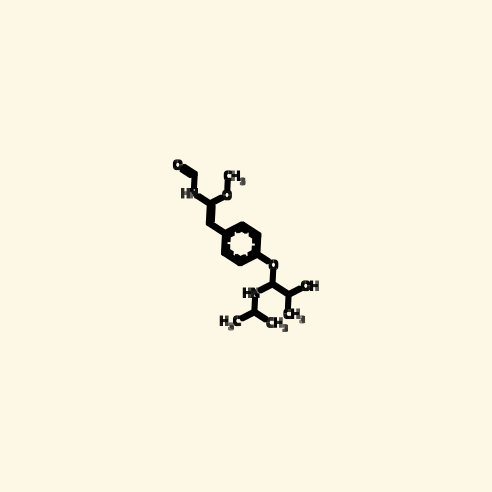 COC(=Cc1ccc(OC(NC(C)C)C(C)O)cc1)NC=O